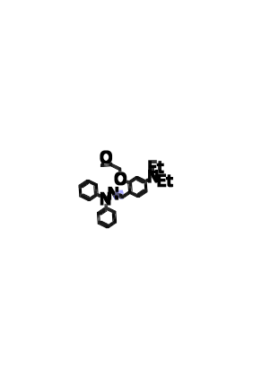 CCN(CC)c1ccc(/C=N/N(c2ccccc2)c2ccccc2)c(OCC2CO2)c1